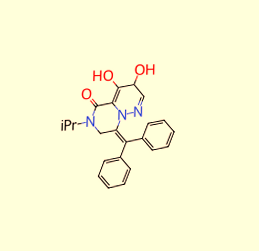 CC(C)N1CC(=C(c2ccccc2)c2ccccc2)N2N=CC(O)C(O)=C2C1=O